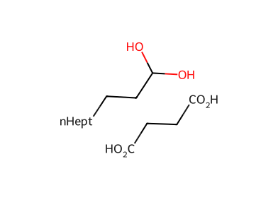 CCCCCCCCCC(O)O.O=C(O)CCC(=O)O